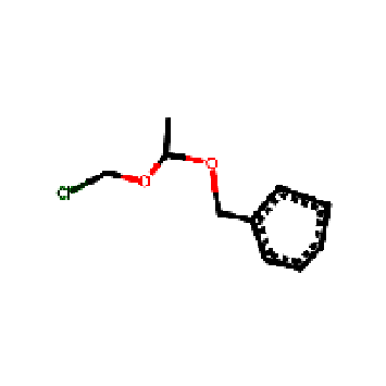 CC(OCCl)OCc1ccccc1